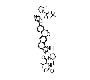 COC(=O)N[C@H](C(=O)N1[C@@H](I)CC[C@H]1c1nc2ccc3cc4c(cc3c2[nH]1)OCc1cc(-c2cnc([C@@H]3CC[C@H](C)N3C(=O)OC(C)(C)C)[nH]2)ccc1-4)C(C)C